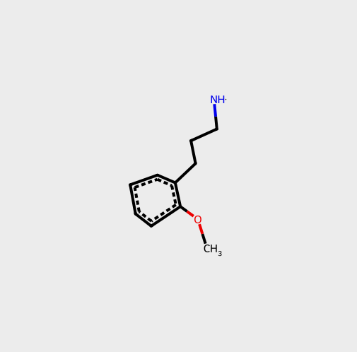 COc1ccccc1CCC[NH]